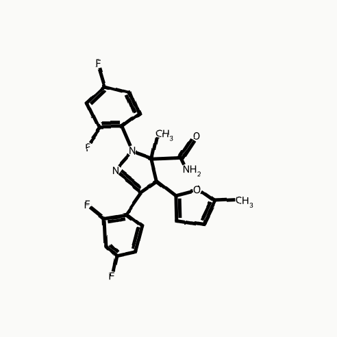 Cc1ccc(C2C(c3ccc(F)cc3F)=NN(c3ccc(F)cc3F)C2(C)C(N)=O)o1